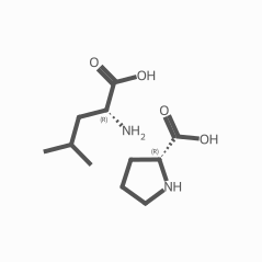 CC(C)C[C@@H](N)C(=O)O.O=C(O)[C@H]1CCCN1